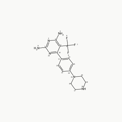 Nc1nc(N)c(C(F)(F)F)c(-c2ccc(N3CCNCC3)cc2)n1